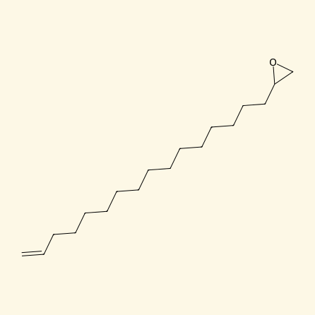 C=CCCCCCCCCCCCCCCC1CO1